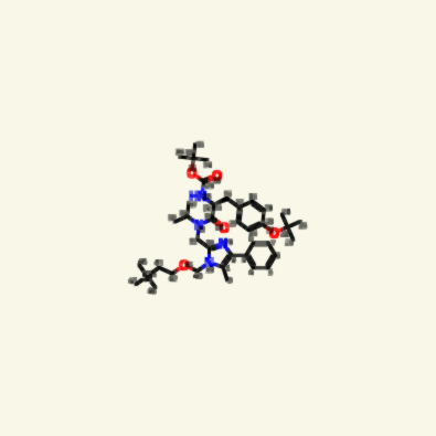 Cc1c(-c2ccccc2)nc(CN(C(=O)[C@H](Cc2ccc(OC(C)(C)C)cc2)NC(=O)OC(C)(C)C)C(C)C)n1COCC[Si](C)(C)C